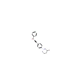 OCC1CCCN(c2ccc(C#CC(O)c3ccc(F)cc3)cc2)C1